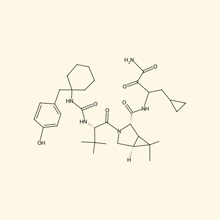 CC(C)(C)[C@H](NC(=O)NC1(Cc2ccc(O)cc2)CCCCC1)C(=O)N1C[C@H]2C([C@H]1C(=O)NC(CC1CC1)C(=O)C(N)=O)C2(C)C